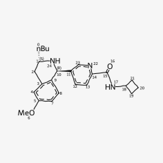 CCCC[C@H]1Cc2cc(OC)ccc2[C@H](c2ccc(C(=O)NC3CCC3)nc2)N1